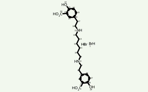 Br.Br.O=C(O)c1cc(CCNCCCCCCNCCc2ccc(O)c(C(=O)O)c2)ccc1O